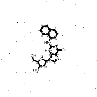 O=c1nc(Nc2cccc3ccccc23)[nH]c2c1ncn2C1CC(O)C(CO)O1